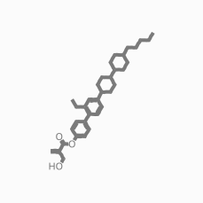 C=C(CO)C(=O)Oc1ccc(-c2ccc(C3CCC(C4CCC(CCCCC)CC4)CC3)cc2CC)cc1